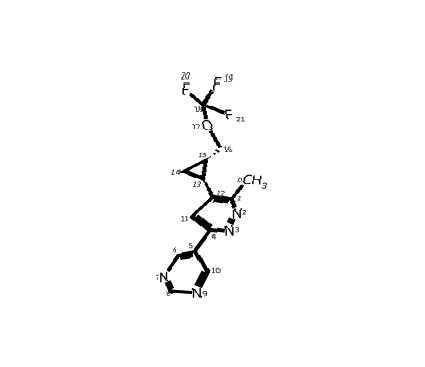 Cc1nnc(-c2cncnc2)cc1[C@H]1C[C@@H]1COC(F)(F)F